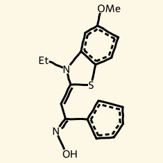 CCN1/C(=C/C(=N/O)c2ccccc2)Sc2ccc(OC)cc21